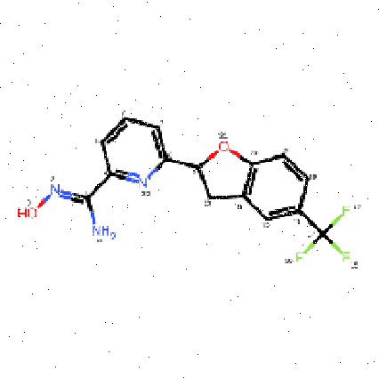 N/C(=N\O)c1cccc(C2Cc3cc(C(F)(F)F)ccc3O2)n1